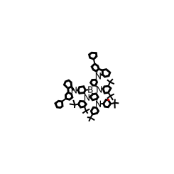 CC(C)(C)c1ccc(N(c2ccc(C(C)(C)C)cc2)c2cc3c4c(c2)N(c2cc(C(C)(C)C)cc(C(C)(C)C)c2)c2cc(-n5c6ccccc6c6cc(-c7ccccc7)ccc65)ccc2B4c2ccc(-n4c5ccccc5c5cc(-c6ccccc6)ccc54)cc2N3c2cc(C(C)(C)C)cc(C(C)(C)C)c2)cc1